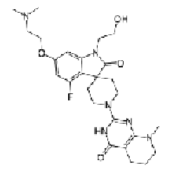 CN(C)CCOc1cc(F)c2c(c1)N(CCO)C(=O)C21CCN(c2nc3c(c(=O)[nH]2)CCCN3C)CC1